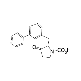 O=C1CCN(C(=O)O)C1Cc1cccc(-c2ccccc2)c1